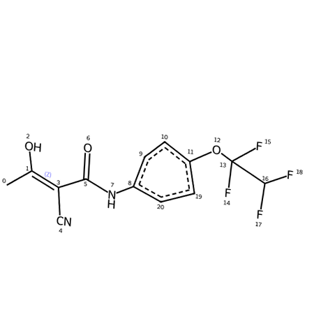 C/C(O)=C(\C#N)C(=O)Nc1ccc(OC(F)(F)C(F)F)cc1